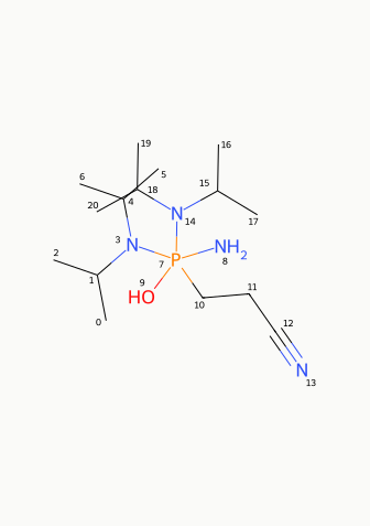 CC(C)N(C(C)C)P(N)(O)(CCC#N)N(C(C)C)C(C)C